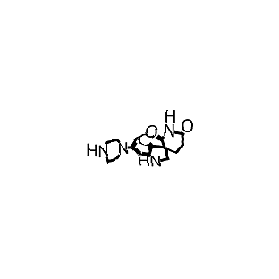 O=C1CCC2(CNc3cc(N4CCNCC4)ccc32)C(=O)N1